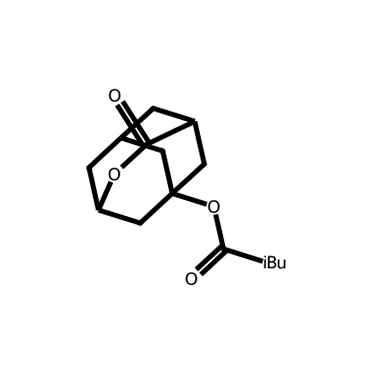 CCC(C)C(=O)OC12CC3CC(C1)OC(=O)C(C3)C2